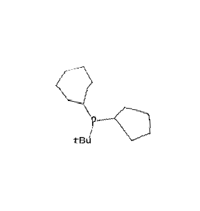 CC(C)(C)P(C1CCCCC1)C1CCCC1